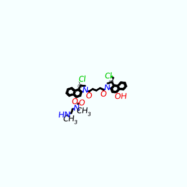 CNCCN(C)C(=O)Oc1cc2c(c3ccccc13)[C@H](CCl)CN2C(=O)CCCC(=O)N1C[C@@H](CCl)c2c1cc(O)c1ccccc21